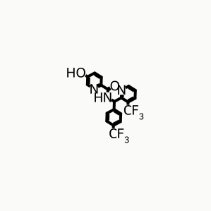 O=C(NC(c1ccc(C(F)(F)F)cc1)c1ncccc1C(F)(F)F)c1ccc(O)cn1